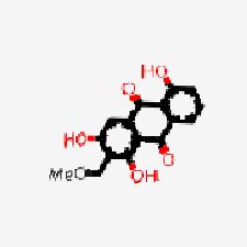 COCc1c(O)cc2c(c1O)C(=O)c1cccc(O)c1C2=O